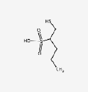 CCCC(CS)S(=O)(=O)O